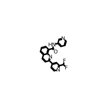 O=C(Nc1cccnc1)c1cccc2ccc(-c3ccnc(C(F)F)c3)nc12